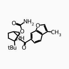 Cc1coc2cc(C(=O)N3CC4CCC3(C(C)(C)C)[C@@H]4OC(N)=O)ccc12